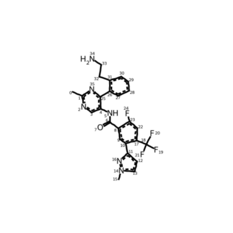 Cc1ncc(NC(=O)c2cc(-c3ccn(C)n3)c(C(F)(F)F)cc2F)c(-c2ccccc2CCN)n1